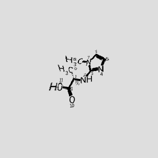 C[C@H](Nc1nccn1C)C(=O)O